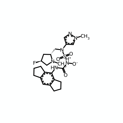 CN1C[C@@H](F)C[C@@H]1CN(c1cnn(C)c1)S(=O)(=O)[NH+]([O-])C(=O)Nc1c2c(cc3c1CCC3)CCC2